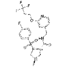 O=C(NCc1ccnc(OCCC(F)(F)F)c1)[C@@H]1C[C@@H](F)CN1S(=O)(=O)c1ccc(F)cc1